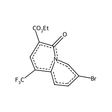 CCOC(=O)c1cc(C(F)(F)F)c2ccc(Br)cn2c1=O